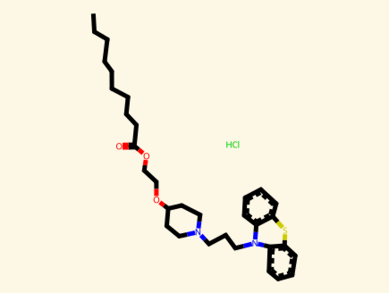 CCCCCCCCCC(=O)OCCOC1CCN(CCCN2c3ccccc3Sc3ccccc32)CC1.Cl